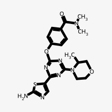 CC1COCCN1c1nc(Oc2ccc(C(=O)N(C)C)cc2)nc(-c2cnc(N)s2)n1